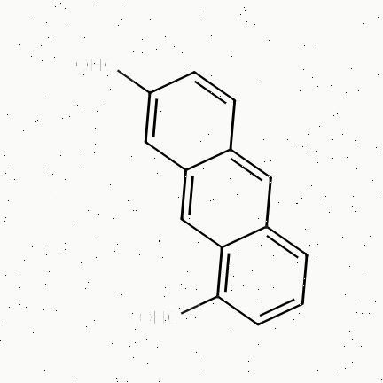 O=Cc1ccc2cc3cccc(C=O)c3cc2c1